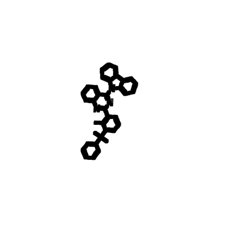 Cc1c(-c2nc(-n3c4ccccc4c4ccccc43)c3ccccc3n2)cccc1C(C)(C)c1ccccc1